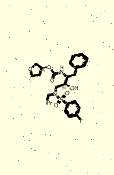 CC(C)CN(C[C@H](O)C(Cc1ccccc1)NC(=O)O[C@H]1CCOC1)S(=O)(=O)c1ccc(F)cc1